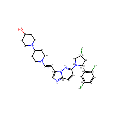 OC1CCN(C2CCN(/C=C/c3cnc4ccc(N5C[C@@H](F)C[C@@H]5c5cc(F)ccc5F)nn34)CC2)CC1